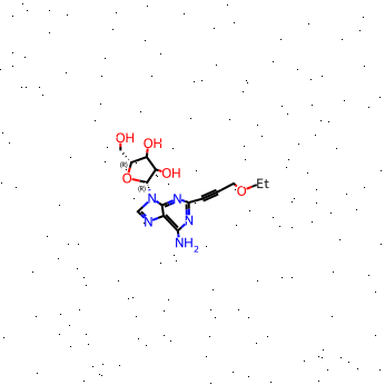 CCOCC#Cc1nc(N)c2ncn([C@@H]3O[C@H](CO)C(O)C3O)c2n1